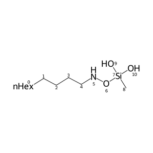 CCCCCCCCCCNO[Si](C)(O)O